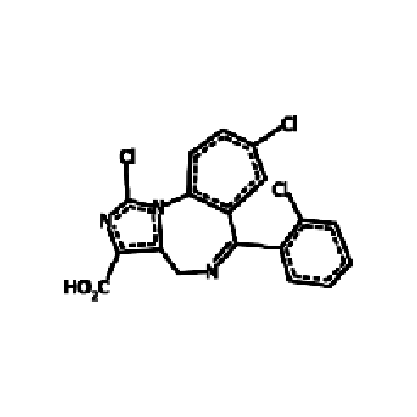 O=C(O)c1nc(Cl)n2c1CN=C(c1ccccc1Cl)c1cc(Cl)ccc1-2